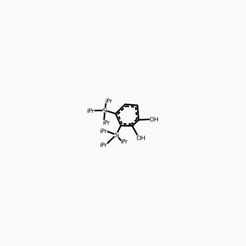 CC(C)[Si](c1ccc(O)c(O)c1[Si](C(C)C)(C(C)C)C(C)C)(C(C)C)C(C)C